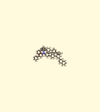 CC(C)(C)c1ccc2c(c1)C1(c3cc(C4=CC(c5ccc6ccccc6c5)CC=C4)ccc3-c3ccc(N(c4ccc(-c5ccccc5)cc4)c4ccccc4-c4ccccc4)cc31)c1cc(C(C)(C)C)ccc1-2